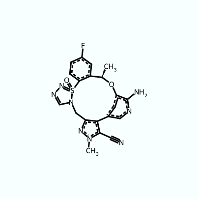 C[C@H]1Oc2cc(cnc2N)-c2c(nn(C)c2C#N)CN2C=NN=S2(=O)c2ccc(F)cc21